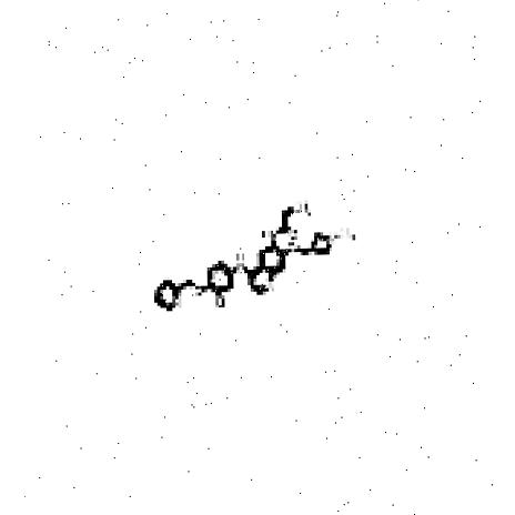 C=CC(=O)Nc1cc2c(Nc3ccc(OCc4ccccn4)c(Cl)c3)ncnc2cc1OCC1CN(C)C1